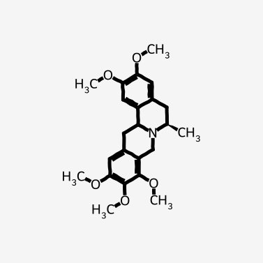 COc1cc2c(cc1OC)C1Cc3cc(OC)c(OC)c(OC)c3CN1[C@H](C)C2